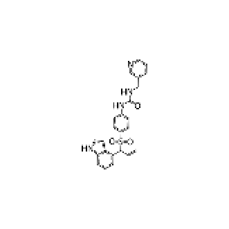 C=CC(c1cccc2[nH]ccc12)S(=O)(=O)c1ccc(NC(=O)NCc2cccnc2)cc1